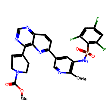 COc1ncc(-c2ccc3ncnc(C4=CCN(C(=O)OC(C)(C)C)CC4)c3n2)cc1NS(=O)(=O)c1c(F)cc(F)cc1F